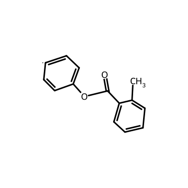 Cc1ccccc1C(=O)Oc1cc[c]cc1